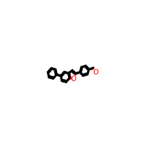 O=Cc1ccc(-c2cc3cc(-c4ccccc4)ccc3o2)cc1